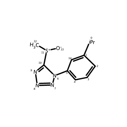 CC(C)c1cccc(-n2nnnc2[S+](C)[O-])c1